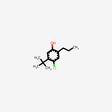 CCCc1cc(Cl)c(C(C)(C)C)cc1O